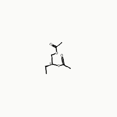 CC[C@@H](COC(C)=O)OC(C)=O